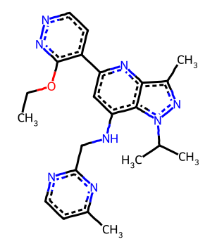 CCOc1nnccc1-c1cc(NCc2nccc(C)n2)c2c(n1)c(C)nn2C(C)C